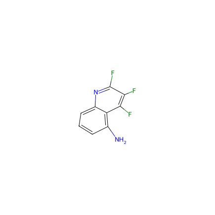 Nc1cccc2nc(F)c(F)c(F)c12